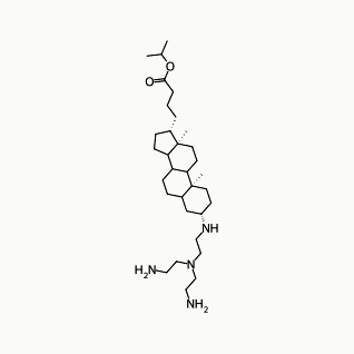 CC(C)OC(=O)CCC[C@H]1CCC2C3CCC4C[C@@H](NCCN(CCN)CCN)CC[C@]4(C)C3CC[C@@]21C